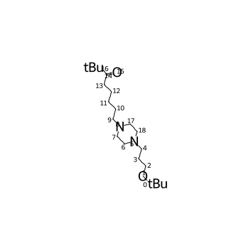 CC(C)(C)OCCCN1CCN(CCCCCC(=O)C(C)(C)C)CC1